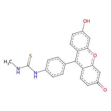 CNC(=S)Nc1ccc(-c2c3ccc(=O)cc-3oc3cc(O)ccc23)cc1